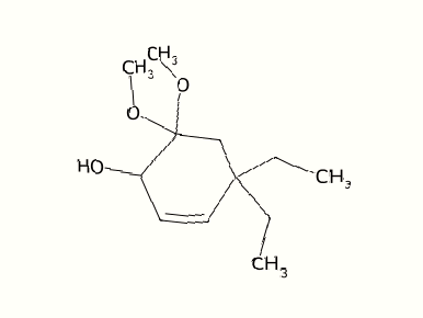 CCC1(CC)C=CC(O)C(OC)(OC)C1